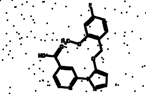 COc1cc(F)ccc1COc1ccnn1-c1cc(C(=O)O)ccn1